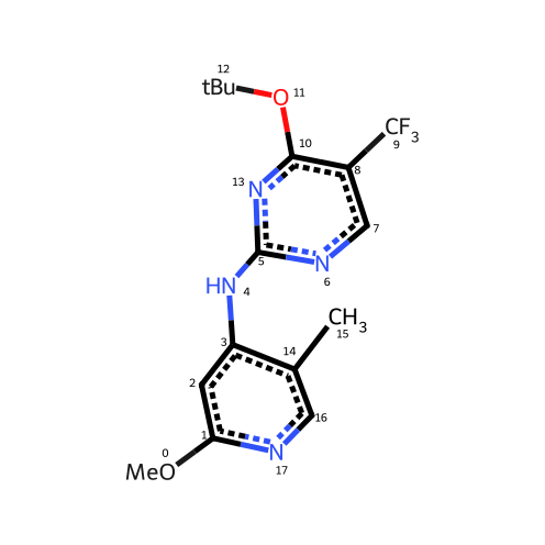 COc1cc(Nc2ncc(C(F)(F)F)c(OC(C)(C)C)n2)c(C)cn1